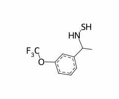 CC(NS)c1cccc(OC(F)(F)F)c1